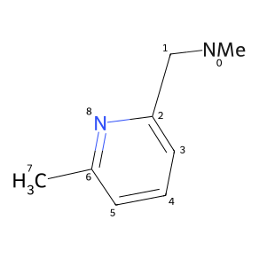 CNCc1cccc(C)n1